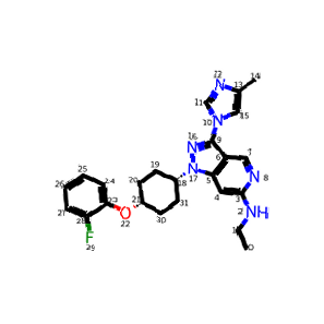 CCNc1cc2c(cn1)c(-n1cnc(C)c1)nn2[C@H]1CC[C@@H](Oc2ccccc2F)CC1